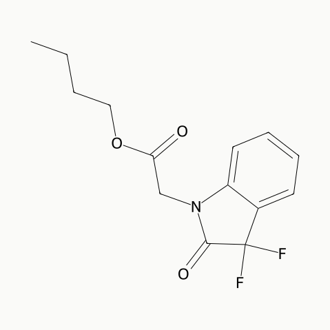 CCCCOC(=O)CN1C(=O)C(F)(F)c2ccccc21